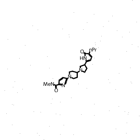 CCCc1ccc(C2CCN(C3CCN(c4ccc(C(=O)NC)nc4)CC3)C2)[nH]c1=O